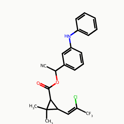 CC1(C)C(C=C(Cl)C(F)(F)F)C1C(=O)OC(C#N)c1cccc(Nc2ccccc2)c1